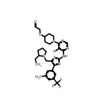 CCC1CCCN1Cc1sc(Nc2ncnc(N3CCC(OCC=O)CC3)c2F)nc1-c1cc(C)cc(C(F)(F)F)c1